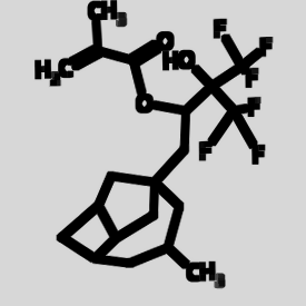 C=C(C)C(=O)OC(CC12CC(C)CC3CC(C1)C3C2)C(O)(C(F)(F)F)C(F)(F)F